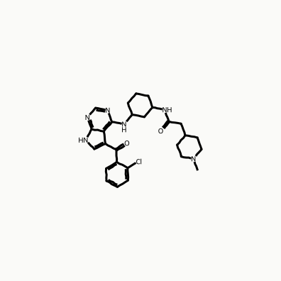 CN1CCC(CC(=O)NC2CCCC(Nc3ncnc4[nH]cc(C(=O)c5ccccc5Cl)c34)C2)CC1